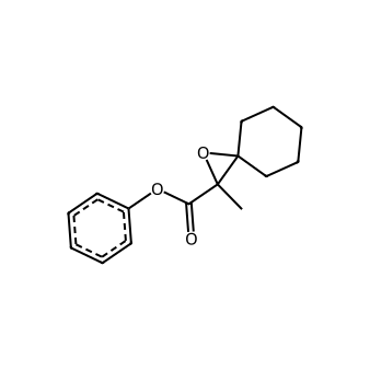 CC1(C(=O)Oc2ccccc2)OC12CCCCC2